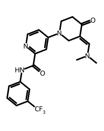 CN(C)C=C1CN(c2ccnc(C(=O)Nc3cccc(C(F)(F)F)c3)c2)CCC1=O